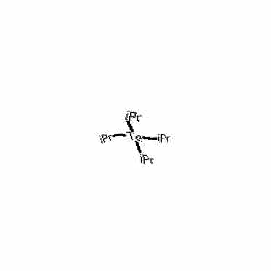 CC(C)[Te](C(C)C)(C(C)C)C(C)C